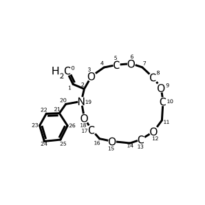 C=CC1OCCOCCOCCOCCOCCON1Cc1ccccc1